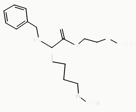 CCCCCCCOCCNC(=O)[C@H](CCCCNC(=O)O)NCc1ccccc1